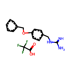 N=C(N)NCc1ccc(OCc2ccccc2)cc1.O=C(O)C(F)(F)F